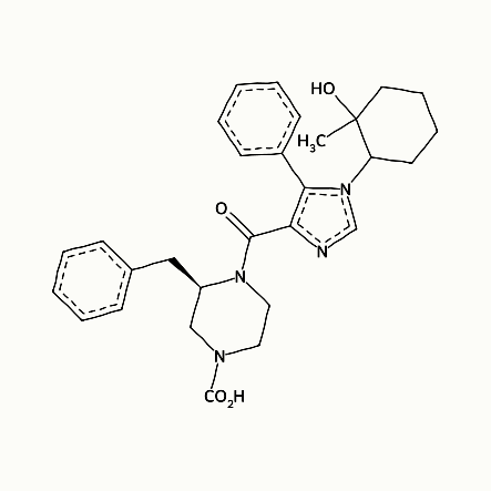 CC1(O)CCCCC1n1cnc(C(=O)N2CCN(C(=O)O)C[C@H]2Cc2ccccc2)c1-c1ccccc1